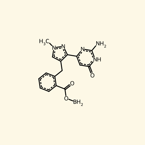 BOC(=O)c1ccccc1Cc1cn(C)nc1-c1cc(=O)[nH]c(N)n1